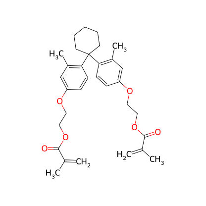 C=C(C)C(=O)OCCOc1ccc(C2(c3ccc(OCCOC(=O)C(=C)C)cc3C)CCCCC2)c(C)c1